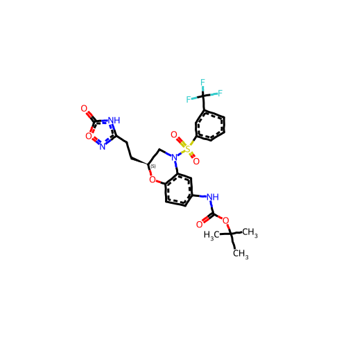 CC(C)(C)OC(=O)Nc1ccc2c(c1)N(S(=O)(=O)c1cccc(C(F)(F)F)c1)C[C@H](CCc1noc(=O)[nH]1)O2